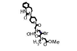 COC(=O)CN(C)C(=O)/C(Br)=C\N(C=O)CC(=O)N1CCC(N2CCc3ccccc3NC2=O)CC1